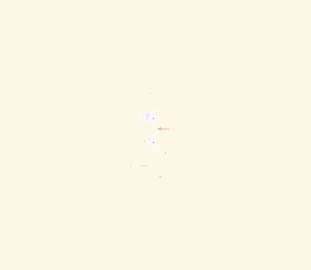 CCNC(=O)[N]OC(C)=O